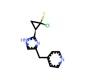 F[C@]1(Cl)C[C@@H]1c1nc(Cc2ccncc2)c[nH]1